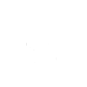 C=CC(OC(=O)C(=C)C)c1ccccc1